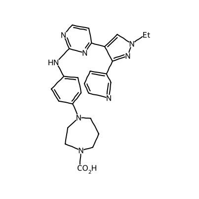 CCn1cc(-c2ccnc(Nc3ccc(N4CCCN(C(=O)O)CC4)cc3)n2)c(-c2cccnc2)n1